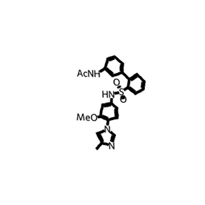 COc1cc(NS(=O)(=O)c2ccccc2-c2cccc(NC(C)=O)c2)ccc1-n1cnc(C)c1